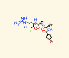 CC(C)C(NC(=O)c1ccc(Br)cc1)C(=O)N1CC[C@H]1C(=O)N[C@@H](CCCNC(=N)N)C(=O)CF